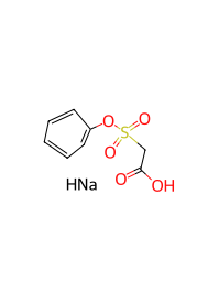 O=C(O)CS(=O)(=O)Oc1ccccc1.[NaH]